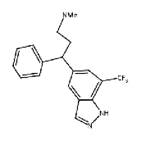 CNCCC(c1ccccc1)c1cc(C(F)(F)F)c2[nH]ncc2c1